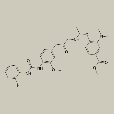 COC(=O)c1ccc(OC(C)NCC(=O)Cc2ccc(NC(=O)Nc3ccccc3F)c(OC)c2)c(N(C)C)c1